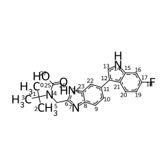 CC(C)(C)N(Cc1nc2ccc(-c3c[nH]c4cc(F)ccc34)cc2[nH]1)C(=O)O